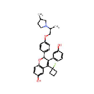 CC1CCN(C(C)COc2ccc(C3Oc4ccc(O)cc4C(C4(F)CCC4)=C3c3cccc(O)c3)cc2)C1